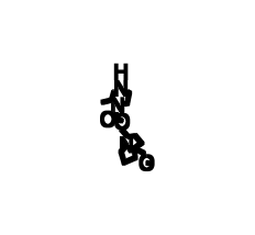 COCC12CCCN1C(COC(=O)N1CCNCC1C)CC2